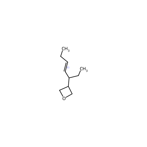 CC/C=C/C(CC)C1COC1